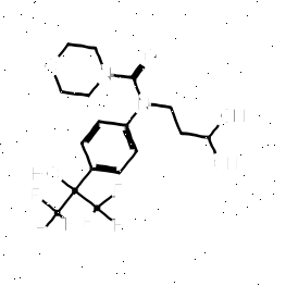 CC(C)CCN(C(=O)N1CCOCC1)c1ccc(C(O)(C(F)(F)F)C(F)(F)F)cc1